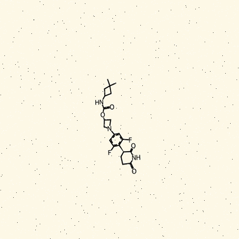 CC1(C)CC(NC(=O)OC2CN(c3cc(F)c([C@@H]4CCC(=O)NC4=O)c(F)c3)C2)C1